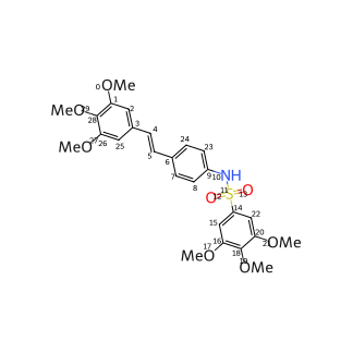 COc1cc(C=Cc2ccc(NS(=O)(=O)c3cc(OC)c(OC)c(OC)c3)cc2)cc(OC)c1OC